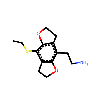 CCSc1c2c(c(CCN)c3c1OCC3)OCC2